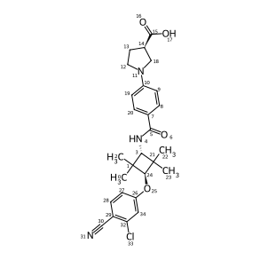 CC1(C)[C@H](NC(=O)c2ccc(N3CC[C@@H](C(=O)O)C3)cc2)C(C)(C)[C@H]1Oc1ccc(C#N)c(Cl)c1